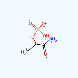 CC(OP(=O)(O)O)C(N)=O